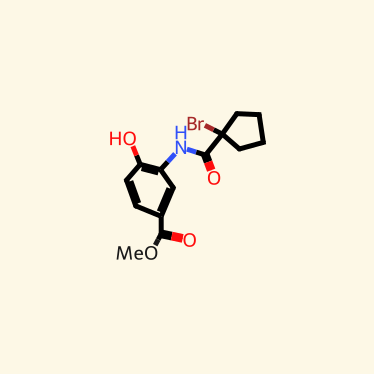 COC(=O)c1ccc(O)c(NC(=O)C2(Br)CCCC2)c1